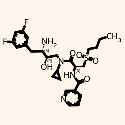 CCCCS(=O)(=O)C[C@@H](NC(=O)c1cccnc1)C(=O)N(C[C@@H](O)[C@@H](N)Cc1cc(F)cc(F)c1)C1CC1